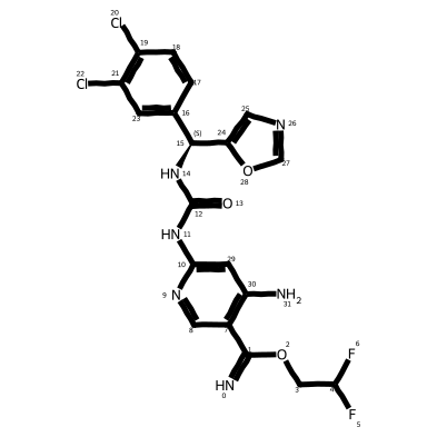 N=C(OCC(F)F)c1cnc(NC(=O)N[C@@H](c2ccc(Cl)c(Cl)c2)c2cnco2)cc1N